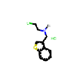 CCN(CCCl)Cc1csc2ccccc12.Cl